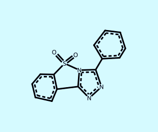 O=S1(=O)c2ccccc2-c2nnc(-c3ccccc3)n21